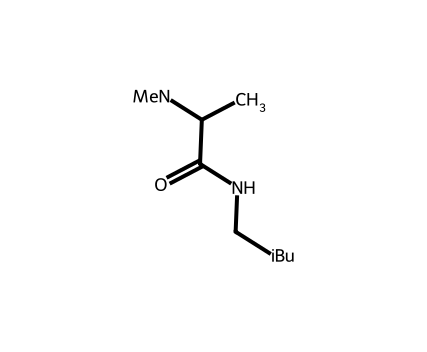 CCC(C)CNC(=O)C(C)NC